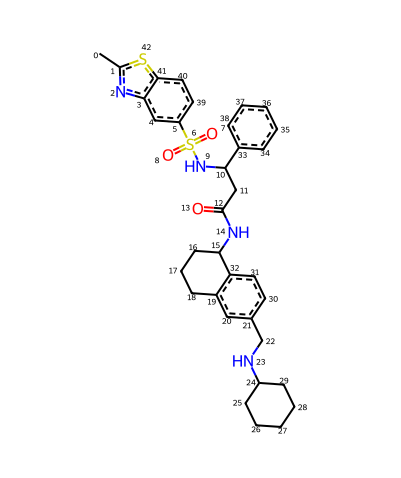 Cc1nc2cc(S(=O)(=O)NC(CC(=O)NC3CCCc4cc(CNC5CCCCC5)ccc43)c3ccccc3)ccc2s1